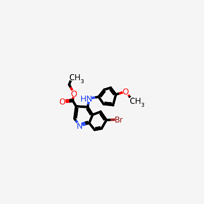 CCOC(=O)c1cnc2ccc(Br)cc2c1Nc1ccc(OC)cc1